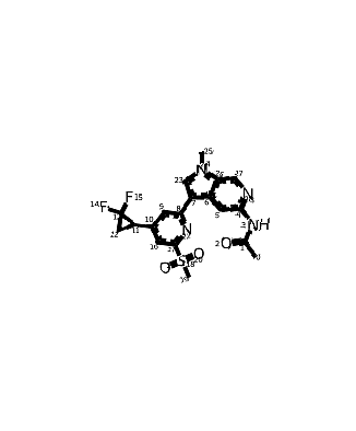 CC(=O)Nc1cc2c(-c3cc(C4CC4(F)F)cc(S(C)(=O)=O)n3)cn(C)c2cn1